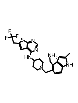 Cc1cc2c(CN)c(CN3CCC(Nc4ncnc5sc(CC(F)(F)F)cc45)CC3)ccc2[nH]1